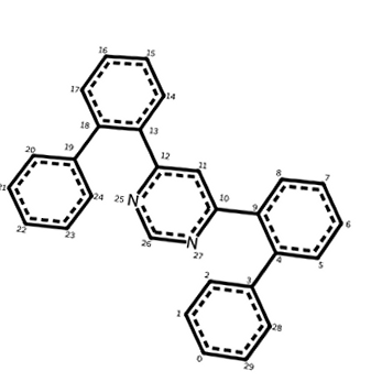 c1ccc(-c2ccccc2-c2cc(-c3ccccc3-c3ccccc3)ncn2)cc1